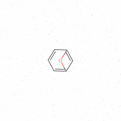 c1cc2cc(c1)O2